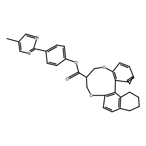 Cc1cnc(-c2ccc(OC(=O)C3COc4ccc5c(c4-c4c(ccc6c4CCCC6)OC3)CCCC5)cc2)nc1